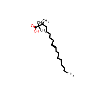 CCCCCCCCC=CCCCCCC(C)C(C)(C)C(=O)O